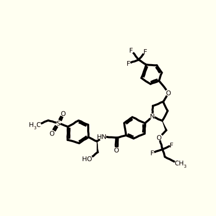 CCC(F)(F)OC[C@@H]1CC(Oc2ccc(C(F)(F)F)cc2)CN1c1ccc(C(=O)N[C@@H](CO)c2ccc(S(=O)(=O)CC)cc2)cc1